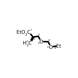 C=C(COCOCC)C(=O)OCC